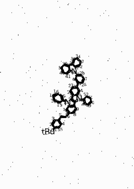 CC(C)(C)c1ccc(C=Cc2ccc3c(c2)n(-c2ccccc2)c2c4ccc(-c5cccc(-n6c7ccccc7c7ccccc76)c5)cc4n(-c4ccccc4)c32)cc1